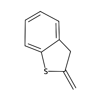 C=C1Cc2ccccc2S1